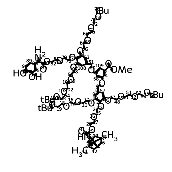 COC(=O)c1cc(OCc2cc(OCCOCCOCCOC(C)(C)C)c(OCCOCCOC(=O)NC34CC5CC(C)(CC(C)(C5)C3)C4)c(OCCOCCOCCOC(C)(C)C)c2)cc(OCc2cc(OCCOCCOCCOC(C)(C)C)c(OCCOCCOC(=O)C(N)c3ccc(O)c(O)c3)c(OCCOCCOCCOC(C)(C)C)c2)c1